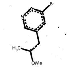 COC(C)Cc1cncc(Br)c1